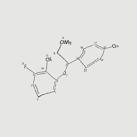 COCC(Oc1cccc(F)c1C#N)c1ccc(Cl)cc1